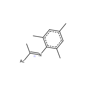 CC(=O)/C(C)=N/c1c(C)cc(C)cc1C